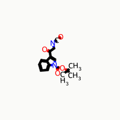 CC(C)(C)OC(=O)n1cc(C(=O)CN=C=O)c2ccccc21